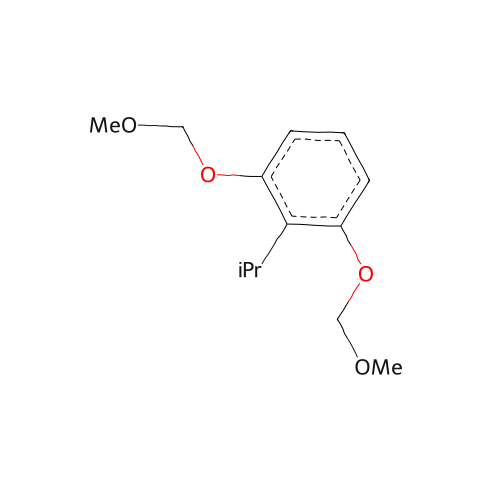 COCOc1cccc(OCOC)c1C(C)C